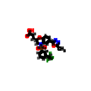 Cc1nnc(-c2ccc3c(c2)N(S(=O)(=O)c2cccc(C(F)(F)F)c2)C[C@H](CCC(=O)O)O3)o1